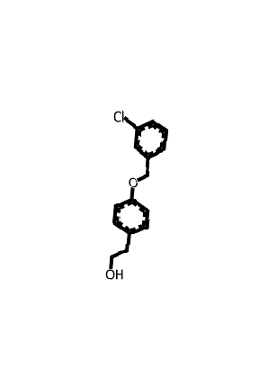 OCCc1ccc(OCc2cccc(Cl)c2)cc1